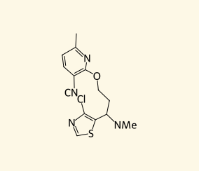 CNC(CCOc1nc(C)ccc1C#N)c1scnc1Cl